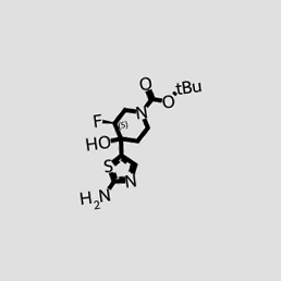 CC(C)(C)OC(=O)N1CCC(O)(c2cnc(N)s2)[C@@H](F)C1